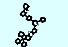 c1ccc(-c2cc(-c3ccc(-c4cccc5c4oc4ccccc45)cc3)cc(-c3ccc4c(c3)Oc3c(ccc5c3-c3ccccc3C5(c3ccccc3)c3ccccc3)O4)n2)cc1